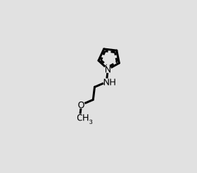 COCCNn1cccc1